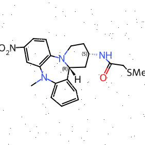 CSCC(=O)N[C@H]1CCN2c3ccc([N+](=O)[O-])cc3N(C)c3ccccc3[C@H]2C1